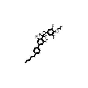 C/C=C/CCc1ccc(-c2cc(F)c(C(F)(F)Oc3cc(F)c(OCF)c(F)c3)c(F)c2)cc1